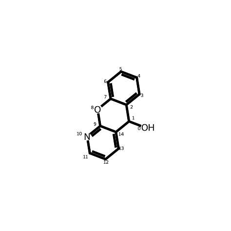 OC1c2ccccc2Oc2ncccc21